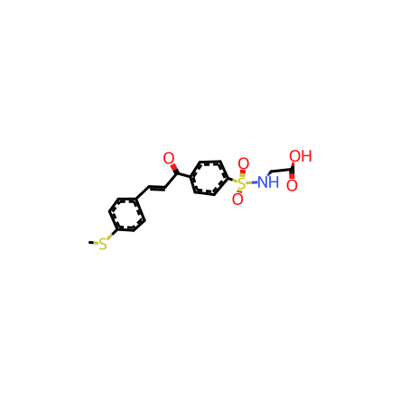 CSc1ccc(C=CC(=O)c2ccc(S(=O)(=O)NCC(=O)O)cc2)cc1